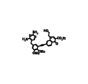 CCOC(=O)c1cn(CCO)c2cc(C#Cc3cc(Cc4cnc(N)nc4N)cc(OC)c3OC)ccc2c1=O